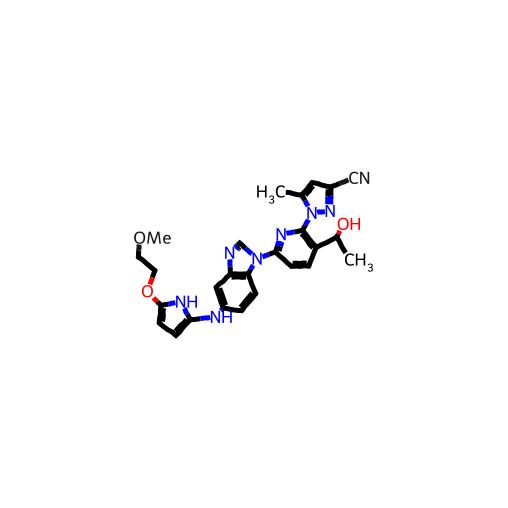 COCCOc1ccc(Nc2ccc3c(c2)ncn3-c2ccc(C(C)O)c(-n3nc(C#N)cc3C)n2)[nH]1